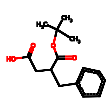 CC(C)(C)OC(=O)C(CC(=O)O)Cc1ccccc1